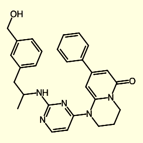 CC(Cc1cccc(CO)c1)Nc1nccc(N2CCCn3c2cc(-c2ccccc2)cc3=O)n1